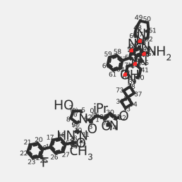 CC(C)[C@@H](C(=O)N1C[C@H](O)C[C@H]1C1=NO[C@](C)(c2ccc(-c3ccccc3F)cc2)N1)c1cc(O[C@H]2CC3(C2)C[C@H](N2CCC(c4cnc(N5C6CCC5CN(c5cc(-c7ccccc7O)nnc5N)C6)nc4)CC2)C3)no1